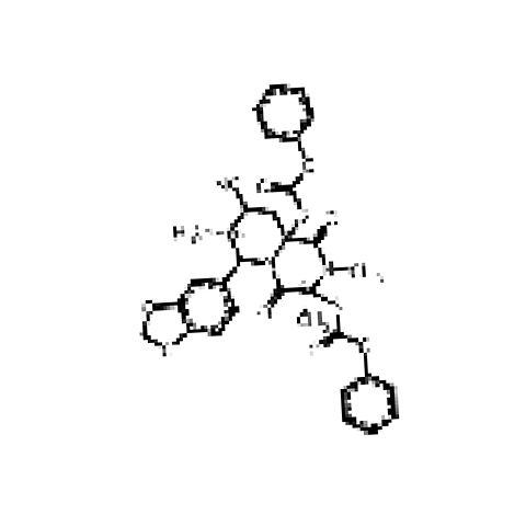 C[C@@H]1C(C#N)CC2(SC(=O)Oc3ccccc3)C(=O)N(C)[C@@](C)(SC(=O)Oc3ccccc3)C(=O)N2C1c1ccc2c(c1)OCO2